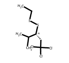 CCSS[C@H](CC(Cl)(Cl)Cl)C(C)C